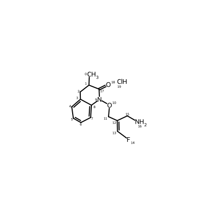 CC1Cc2ccccc2N(OC/C(=C/F)CN)C1=O.Cl